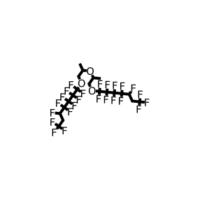 CC(COC(F)(F)C(F)(F)C(F)(F)C(F)(F)C(F)CC(F)(F)F)OC(C)COC(F)(F)C(F)(F)C(F)(F)C(F)(F)C(F)CC(F)(F)F